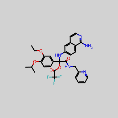 CCOc1cc(C(Nc2ccc3c(N)nccc3c2)(OC(=O)C(F)(F)F)C(=O)NCc2ccccn2)ccc1OC(C)C